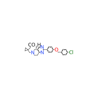 O=C(O)CC1(CN2CCc3nc(-c4ccc(OCc5ccc(Cl)cc5)cc4)ncc3C2)CC1